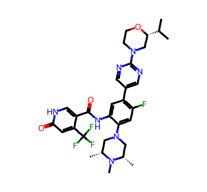 CC(C)[C@@H]1CN(c2ncc(-c3cc(NC(=O)c4c[nH]c(=O)cc4C(F)(F)F)c(N4C[C@@H](C)N(C)[C@@H](C)C4)cc3F)cn2)CCO1